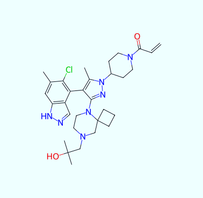 C=CC(=O)N1CCC(n2nc(N3CCN(CC(C)(C)O)CC34CCC4)c(-c3c(Cl)c(C)cc4[nH]ncc34)c2C)CC1